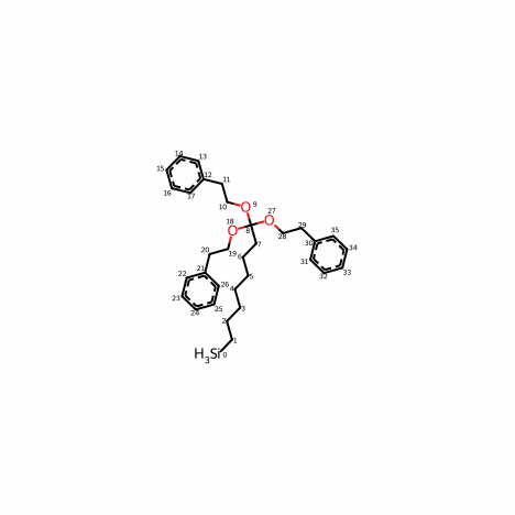 [SiH3]CCCCCCCC(OCCc1ccccc1)(OCCc1ccccc1)OCCc1ccccc1